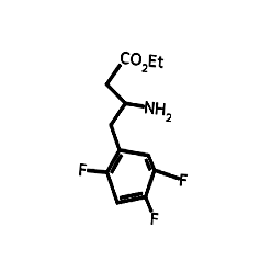 CCOC(=O)CC(N)Cc1cc(F)c(F)cc1F